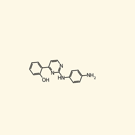 Nc1ccc(Nc2nccc(-c3ccccc3O)n2)cc1